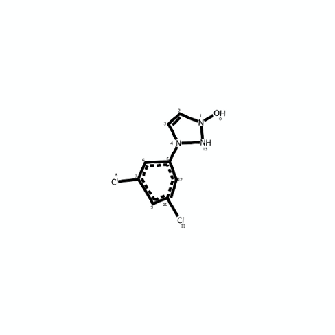 ON1C=CN(c2cc(Cl)cc(Cl)c2)N1